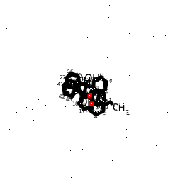 CCc1ccccc1C1C=CC=CC1(c1ccccc1CC)C(O)(c1ccccc1)C(O)(c1ccccc1)c1ccccc1